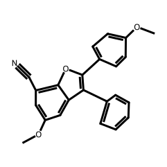 COc1ccc(-c2oc3c(C#N)cc(OC)cc3c2-c2ccccc2)cc1